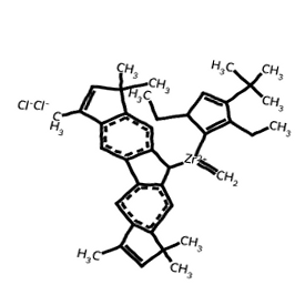 [CH2]=[Zr+2]([C]1=C(CC)C(C(C)(C)C)=CC1CC)[CH]1c2cc3c(cc2-c2cc4c(cc21)C(C)(C)C=C4C)C(C)=CC3(C)C.[Cl-].[Cl-]